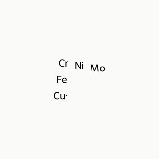 [Cr].[Cu].[Fe].[Mo].[Ni]